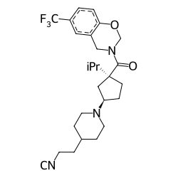 [C-]#[N+]CCC1CCN([C@@H]2CC[C@@](C(=O)N3COc4ccc(C(F)(F)F)cc4C3)(C(C)C)C2)CC1